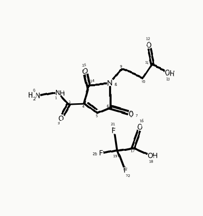 NNC(=O)C1=CC(=O)N(CCC(=O)O)C1=O.O=C(O)C(F)(F)F